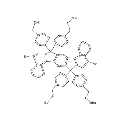 CCCCOCc1ccc(C2(c3ccc(CO)cc3)c3cc4c(cc3-c3c2cc(Br)c2ccccc32)C(c2ccc(COCCCC)cc2)(c2ccc(COCCCC)cc2)c2cc(Br)c3ccccc3c2-4)cc1